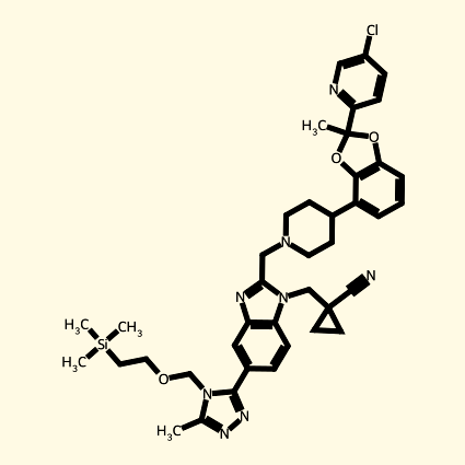 Cc1nnc(-c2ccc3c(c2)nc(CN2CCC(c4cccc5c4OC(C)(c4ccc(Cl)cn4)O5)CC2)n3CC2(C#N)CC2)n1COCC[Si](C)(C)C